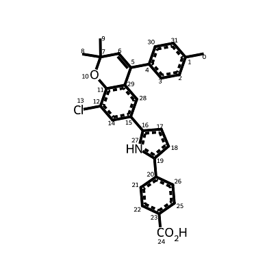 Cc1ccc(C2=CC(C)(C)Oc3c(Cl)cc(-c4ccc(-c5ccc(C(=O)O)cc5)[nH]4)cc32)cc1